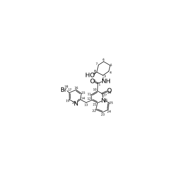 O=C(N[C@H]1CCCC[C@@H]1O)c1cc(Cc2ccc(Br)cn2)c2ccccn2c1=O